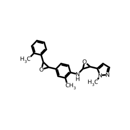 Cc1cc(C2OC2c2ccccc2C)ccc1NC1OC1c1ccnn1C